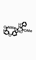 CNC(=O)c1cc(Oc2ccc3nc(N[C@H](C(=O)OC)c4ccccc4)oc3c2)ccn1